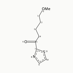 COCCC[CH]C(=O)c1nccs1